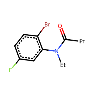 CCN(C(=O)C(C)C)c1cc(F)ccc1Br